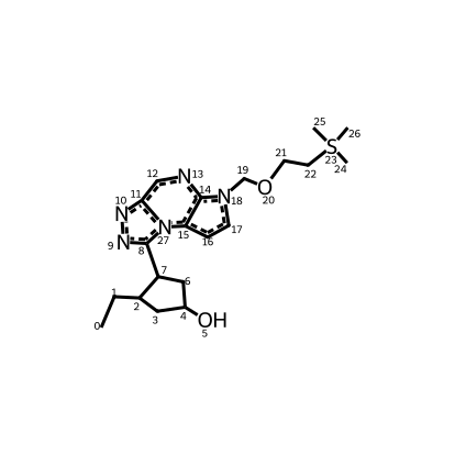 CCC1CC(O)CC1c1nnc2cnc3c(ccn3COCCS(C)(C)C)n12